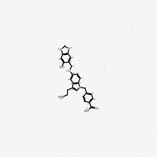 NCCc1cn(Cc2ccc(C(=O)O)cc2)c2ccc(OCc3cc4c(cc3Cl)OCO4)cc12